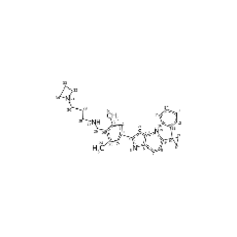 Cc1cc(-c2nc3ccc(C4(c5ccccc5)CC4)nc3s2)cc(C)c1CNCCCN1CCC1